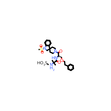 CC(C)(N)C(=O)N[C@H](COCCc1ccccc1)C(=O)N1CCC2(CC1)CN(S(C)(=O)=O)c1ccccc12.CS(=O)(=O)O